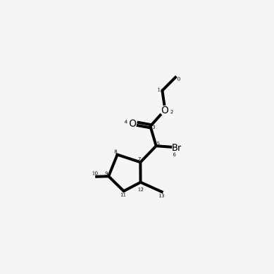 CCOC(=O)C(Br)C1CC(C)CC1C